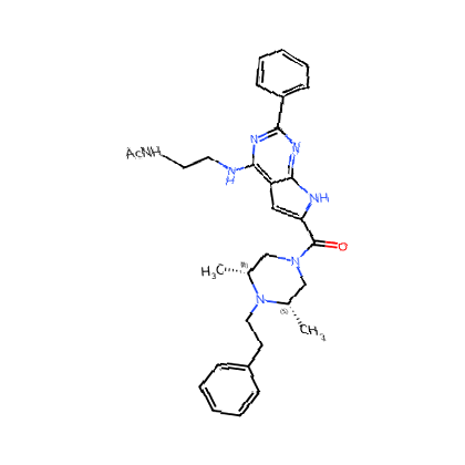 CC(=O)NCCNc1nc(-c2ccccc2)nc2[nH]c(C(=O)N3C[C@@H](C)N(CCc4ccccc4)[C@@H](C)C3)cc12